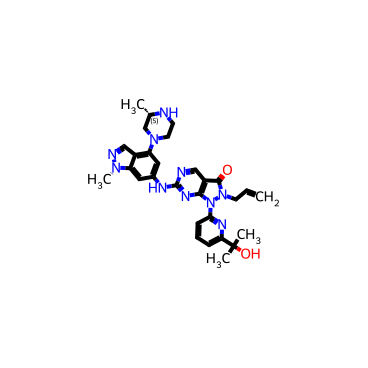 C=CCn1c(=O)c2cnc(Nc3cc(N4CCN[C@@H](C)C4)c4cnn(C)c4c3)nc2n1-c1cccc(C(C)(C)O)n1